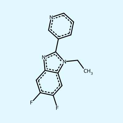 CCn1c(-c2cccnc2)nc2cc(F)c(F)cc21